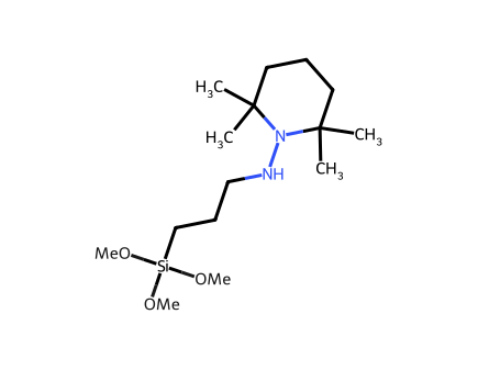 CO[Si](CCCNN1C(C)(C)CCCC1(C)C)(OC)OC